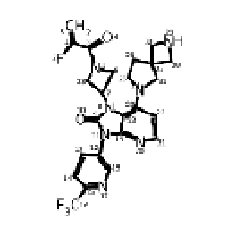 C=C(F)C(=O)N1CC(n2c(=O)n(-c3ccc(C(F)(F)F)nc3)c3nccc(N4CCC5(CNC5)C4)c32)C1